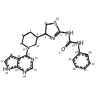 O=C(NC1=NC(C2CCCN(c3ncnc4[nH]ccc34)C2)CS1)Nc1ccccc1